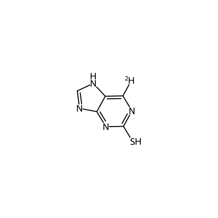 [2H]c1nc(S)nc2nc[nH]c12